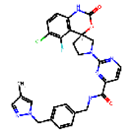 Cc1cnn(Cc2ccc(CNC(=O)c3ccnc(N4CC[C@]5(C4)OC(=O)Nc4ccc(Cl)c(F)c45)n3)cc2)c1